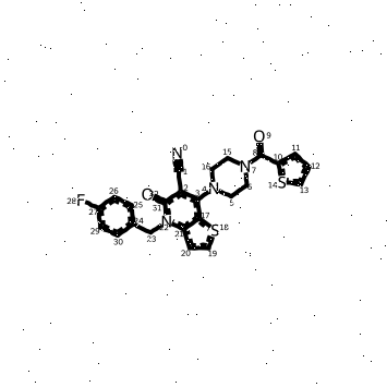 N#Cc1c(N2CCN(C(=O)c3cccs3)CC2)c2sccc2n(Cc2ccc(F)cc2)c1=O